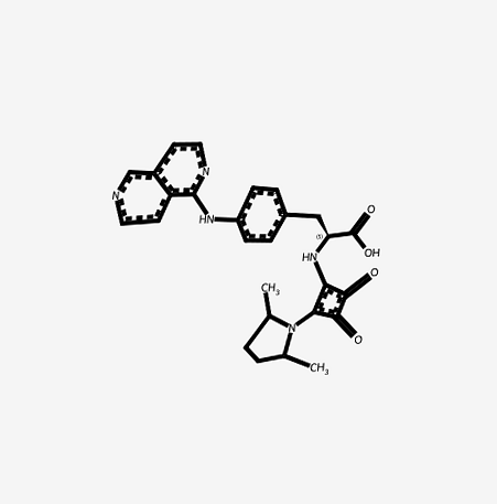 CC1CCC(C)N1c1c(N[C@@H](Cc2ccc(Nc3nccc4cnccc34)cc2)C(=O)O)c(=O)c1=O